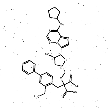 CCc1cc(-c2ccccc2)ccc1CC(OC[C@@H]1C[C@@H](O)[C@H](c2cnc3c(NC4CCCC4)ncnn23)O1)(C(=O)O)C(=O)O